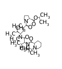 C/C(=C\[C@H](C(C)C)N(C)C(=O)[C@@H](NC(=O)[C@H]1CCCCN1C(C)C)C(C)C)C(=O)N1CCC[C@H]1C(=O)OC(C)C